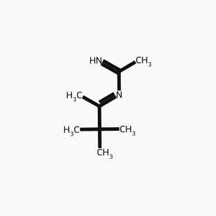 CC(=N)/N=C(\C)C(C)(C)C